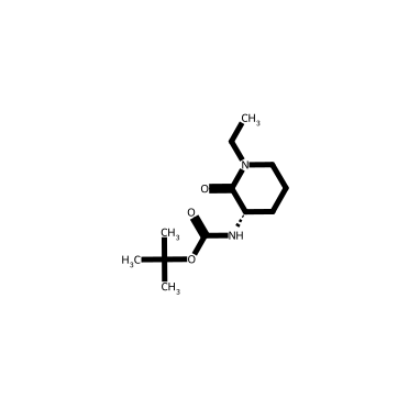 CCN1CCC[C@H](NC(=O)OC(C)(C)C)C1=O